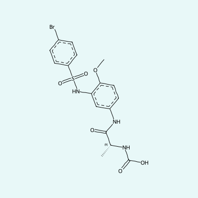 COc1ccc(NC(=O)[C@@H](C)NC(=O)O)cc1NS(=O)(=O)c1ccc(Br)cc1